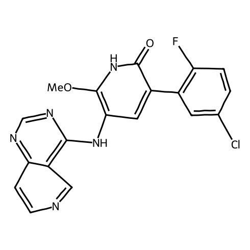 COc1[nH]c(=O)c(-c2cc(Cl)ccc2F)cc1Nc1ncnc2ccncc12